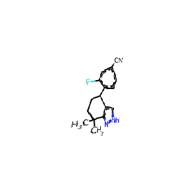 CC1(C)CCC(c2ccc(C#N)cc2F)c2c[nH]nc21